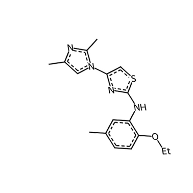 CCOc1ccc(C)cc1Nc1nc(-n2cc(C)nc2C)cs1